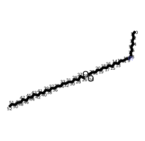 CCCCCCCC/C=C\CCCCCCCCCCCCCC(=O)OCCCCCCCCCCCCCCCCCCCCCCCCCCC